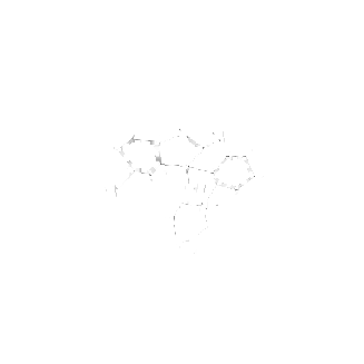 NC1=Nc2ccc(Cl)cc2C1(O)c1ccccc1N1CCSCC1